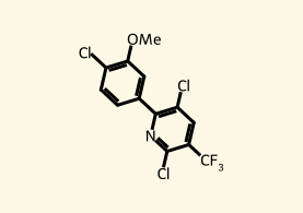 COc1cc(-c2nc(Cl)c(C(F)(F)F)cc2Cl)ccc1Cl